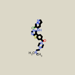 CN(C)CCN1CCN(C(=O)C2CCc3c(sc4ncnc(Nc5cc6ccnn6cc5Cl)c34)C2)CC1